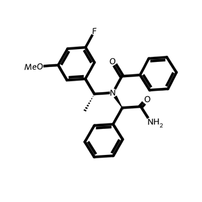 COc1cc(F)cc([C@@H](C)N(C(=O)c2ccccc2)[C@@H](C(N)=O)c2ccccc2)c1